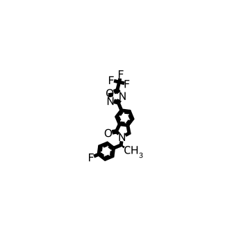 C[C@@H](c1ccc(F)cc1)N1Cc2ccc(-c3noc(C(F)(F)F)n3)cc2C1=O